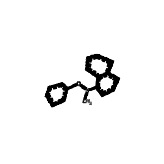 CN(Oc1ccccc1)c1cccc2ccccc12